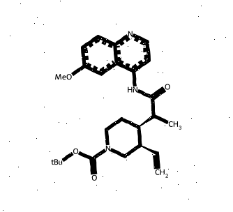 C=C[C@H]1CN(C(=O)OC(C)(C)C)CC[C@H]1C(C)C(=O)Nc1ccnc2ccc(OC)cc12